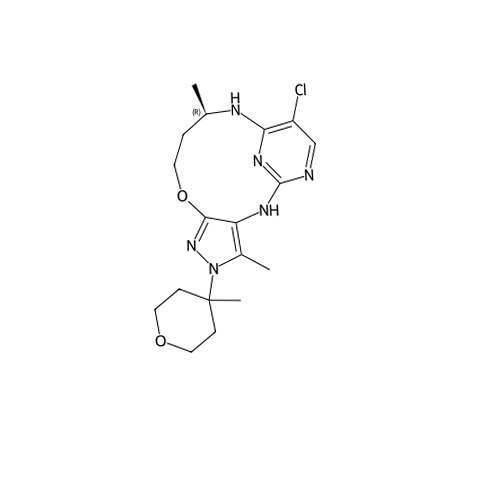 Cc1c2c(nn1C1(C)CCOCC1)OCC[C@@H](C)Nc1nc(ncc1Cl)N2